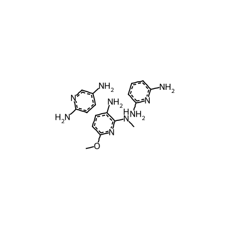 CNc1nc(OC)ccc1N.Nc1ccc(N)nc1.Nc1cccc(N)n1